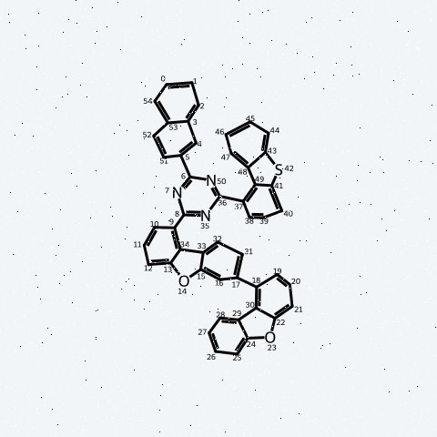 c1ccc2cc(-c3nc(-c4cccc5oc6cc(-c7cccc8oc9ccccc9c78)ccc6c45)nc(-c4cccc5sc6ccccc6c45)n3)ccc2c1